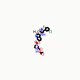 Cc1nnc(-c2cc(Cl)ccc2F)cc1Nc1ccnc2cc(OC(=O)N3CCNC(C(=O)OC4COC4)C3)ccc12